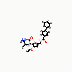 C=CO[C@@H]1C=C(COC(=O)c2ccc(-c3ccccc3)cc2)O[C@H]1N1C=C(C)C(=C)NC1=O